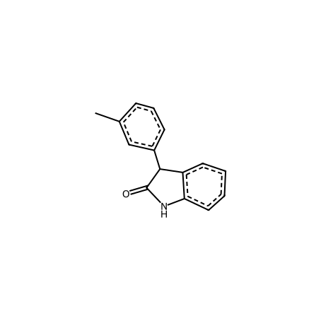 Cc1cccc(C2C(=O)Nc3ccccc32)c1